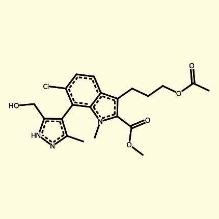 COC(=O)c1c(CCCOC(C)=O)c2ccc(Cl)c(-c3c(C)n[nH]c3CO)c2n1C